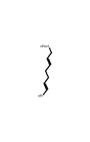 [CH2]CCCCCC=CCCC=CCCC